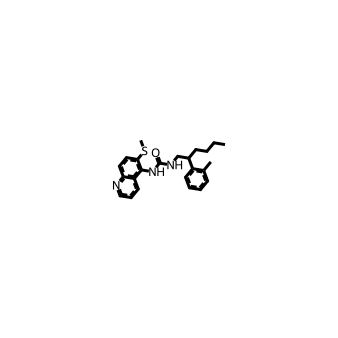 CCCCC(CNC(=O)Nc1c(SC)ccc2ncccc12)c1ccccc1C